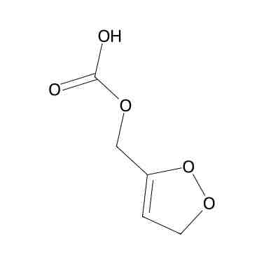 O=C(O)OCC1=CCOO1